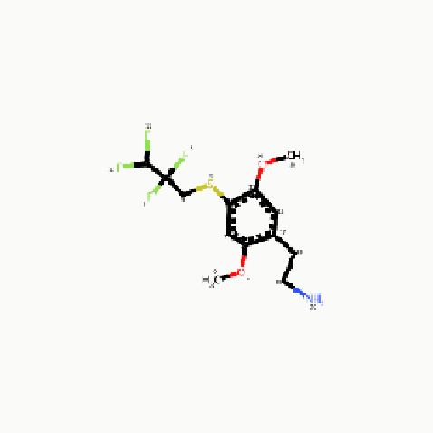 COc1cc(SCC(F)(F)C(F)F)c(OC)cc1CCN